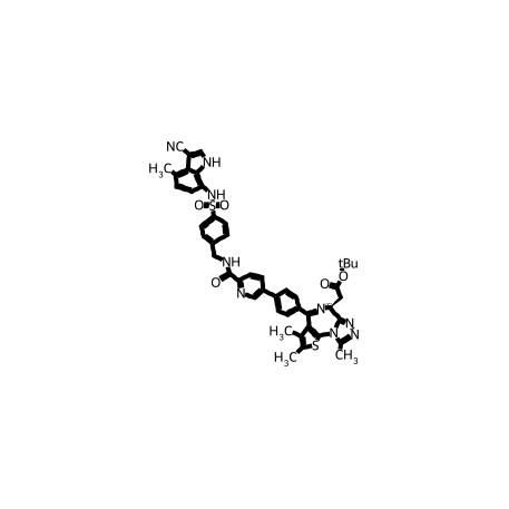 Cc1sc2c(c1C)C(c1ccc(-c3ccc(C(=O)NCc4ccc(S(=O)(=O)Nc5ccc(C)c6c(C#N)c[nH]c56)cc4)nc3)cc1)=N[C@@H](CC(=O)OC(C)(C)C)c1nnc(C)n1-2